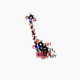 CCCC1O[C@@H]2C[C@H]3[C@@H]4CCC5=CC(=O)C=C[C@]5(C)[C@H]4[C@@H](O)C[C@]3(C)[C@]2(C(=O)OP(=O)(O)OP(=O)(O)OCCNC(=O)CCOCCOCCOCCOCCN2C(=O)C=CC2=O)O1